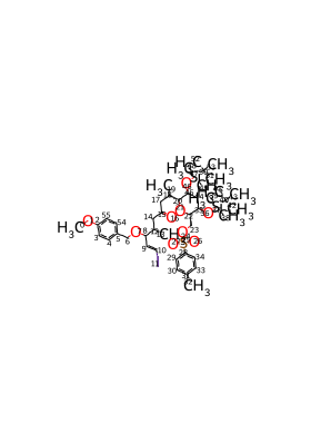 COc1ccc(COC(/C=C/I)C(C)CC(=O)CC(C)[C@@H]2O[C@H](COS(=O)(=O)c3ccc(C)cc3)[C@H](O[Si](C)(C)C(C)(C)C)C[C@@H]2O[Si](C)(C)C(C)(C)C)cc1